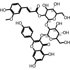 COc1cc(/C=C/C(=O)OC2C(O)[C@H](O)C(CO)O[C@H]2OC2[C@H](Oc3c(-c4ccc(O)cc4)oc4cc(O)cc(O)c4c3=O)OC(CO)[C@@H](O)[C@@H]2O)ccc1O